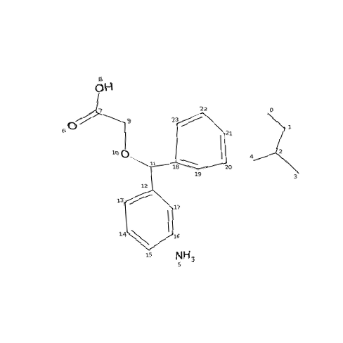 CCC(C)C.N.O=C(O)COC(c1ccccc1)c1ccccc1